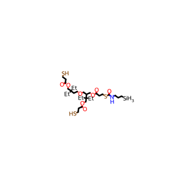 CCC(CC)(CCOCC(COC(=O)CCSC(=O)NCCC[SiH3])C(CC)(CC)COC(=O)CCS)COC(=O)CCS